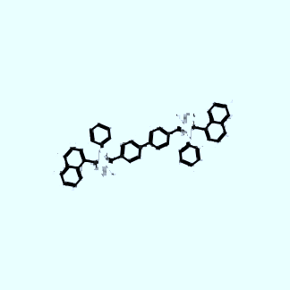 c1ccc(-n2c(-c3ccc(-c4ccc(-c5nnc(-c6cccc7ccccc67)n5-c5ccccc5)cc4)cc3)nnc2-c2cccc3ccccc23)cc1